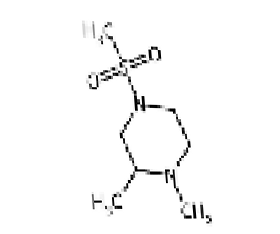 CC1CN(S(C)(=O)=O)CCN1C